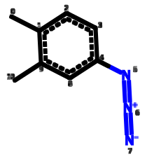 Cc1ccc(N=[N+]=[N-])cc1C